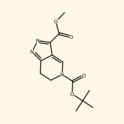 COC(=O)C1=NN=C2CCN(C(=O)OC(C)(C)C)C=C21